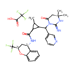 CC1C(C(=O)N[C@H]2C[C@H](C(F)(F)F)Oc3ccccc32)C1C(c1cccnc1)N1C(=N)NC(C)(C)CC1=O.O=C(O)C(F)(F)F